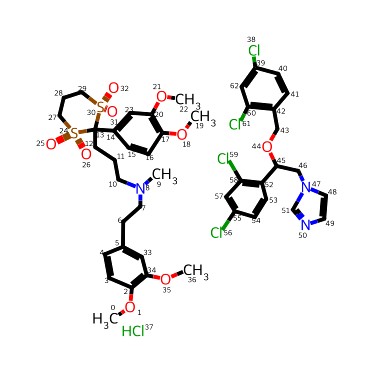 COc1ccc(CCN(C)CCCC2(c3ccc(OC)c(OC)c3)S(=O)(=O)CCCS2(=O)=O)cc1OC.Cl.Clc1ccc(COC(Cn2ccnc2)c2ccc(Cl)cc2Cl)c(Cl)c1